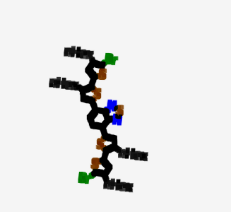 CCCCCCc1cc(-c2sc(-c3ccc(-c4cc(CCCCCC)c(-c5cc(CCCCCC)c(Br)s5)s4)c4nsnc34)cc2CCCCCC)sc1Br